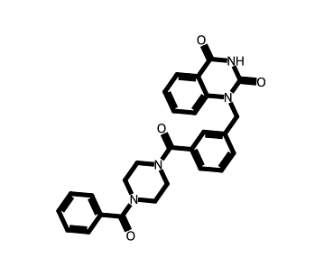 O=C(c1ccccc1)N1CCN(C(=O)c2cccc(Cn3c(=O)[nH]c(=O)c4ccccc43)c2)CC1